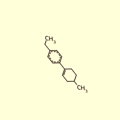 CCc1ccc(C2=CCC(C)CC2)cc1